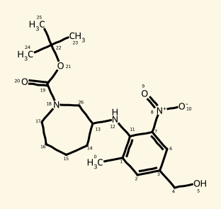 Cc1cc(CO)cc([N+](=O)[O-])c1NC1CCCCN(C(=O)OC(C)(C)C)C1